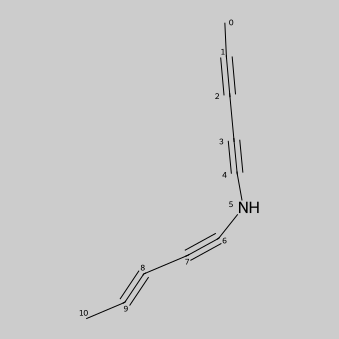 CC#CC#CNC#CC#CC